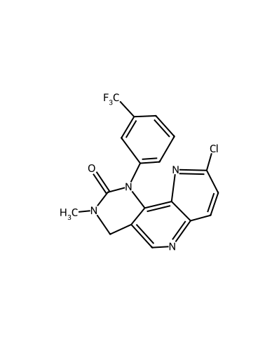 CN1Cc2cnc3ccc(Cl)nc3c2N(c2cccc(C(F)(F)F)c2)C1=O